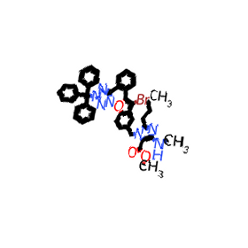 CCCCc1nc(NC)c(C(=O)OC)n1Cc1ccc2oc(-c3ccccc3-c3nnn(C(c4ccccc4)(c4ccccc4)c4ccccc4)n3)c(Br)c2c1